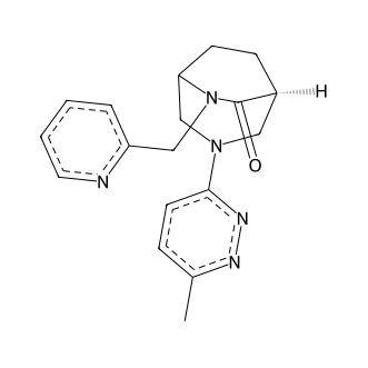 Cc1ccc(N2CC3CC[C@@H](C2)C(=O)N3Cc2ccccn2)nn1